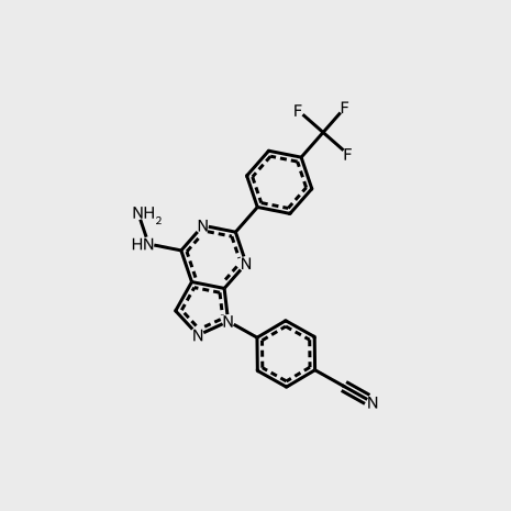 N#Cc1ccc(-n2ncc3c(NN)nc(-c4ccc(C(F)(F)F)cc4)nc32)cc1